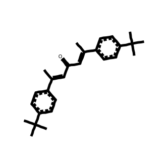 C/C(=C\C(=O)/C=C(\C)c1ccc(C(C)(C)C)cc1)c1ccc(C(C)(C)C)cc1